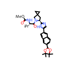 COC(=O)N[C@H](C(=O)N1CC2(CC2)C[C@H]1c1ncc(-c2ccc3cc(C4OC(C)(C)C(C)(C)O4)ccc3c2)[nH]1)C(C)C